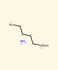 N.[CH2]C(=O)CCCCCCCCC